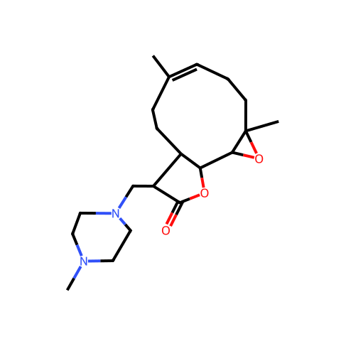 C/C1=C/CCC2(C)OC2C2OC(=O)C(CN3CCN(C)CC3)C2CC1